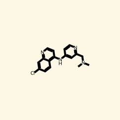 CN(C)Cc1cc(Nc2ccnc3cc(Cl)ccc23)ccn1